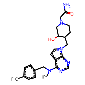 CC(C)N(Cc1ccc(C(F)(F)F)cc1)c1ncnc2c1ccn2CC1CCN(CC(N)=O)CC1O